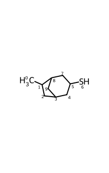 CC1CC2CC(S)CC1C2